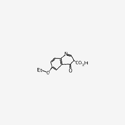 CCOc1ccc2c(c1)C(=O)C(C(=O)O)C=N2